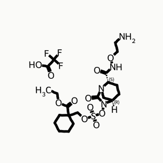 CCOC(=O)C1(COS(=O)(=O)ON2C(=O)N3C[C@H]2CC[C@H]3C(=O)NOCCN)CCCCC1.O=C(O)C(F)(F)F